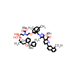 Cc1c(-c2ccc(-c3ccc4cccc(C(=O)O)c4c3)nc2C(=O)OC(C)(C)C)cnn1CC12CC3(C)CC(C)(C1)CC(OCCN(CCS(O)(O)OCC(C)(C)CCO[Si](c1ccccc1)(c1ccccc1)C(C)(C)C)C(=O)OC(C)(C)C)(C3)C2